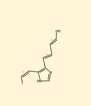 C/C=C\c1[nH]cnc1/C=C/C=C/CCC